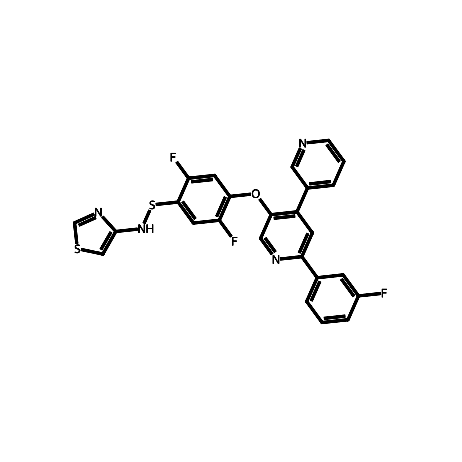 Fc1cccc(-c2cc(-c3cccnc3)c(Oc3cc(F)c(SNc4cscn4)cc3F)cn2)c1